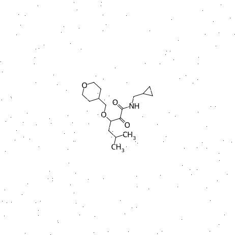 CC(C)CC(OCC1CCOCC1)C(=O)C(=O)NCC1CC1